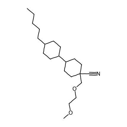 CCCCCC1CCC(C2CCC(C#N)(COCCOC)CC2)CC1